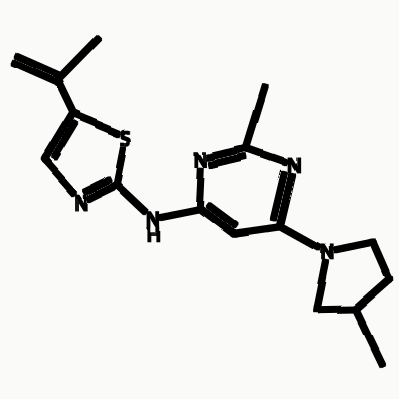 C=C(C)c1cnc(Nc2cc(N3CCC(C)C3)nc(C)n2)s1